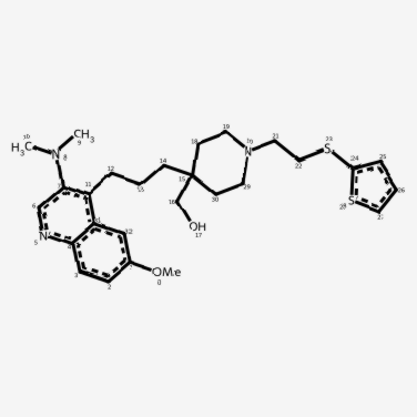 COc1ccc2ncc(N(C)C)c(CCCC3(CO)CCN(CCSc4cccs4)CC3)c2c1